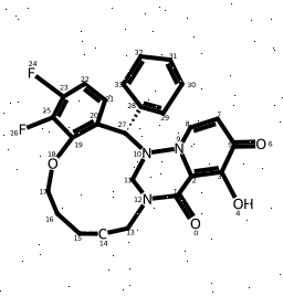 O=C1c2c(O)c(=O)ccn2N2CN1CCCCCOc1c(ccc(F)c1F)[C@@H]2c1ccccc1